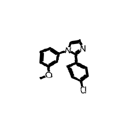 COc1cccc(-n2ccnc2-c2ccc(Cl)cc2)c1